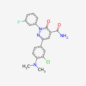 CN(C)c1ccc(-c2cc(C(N)=O)c(=O)n(-c3cccc(F)c3)n2)cc1Cl